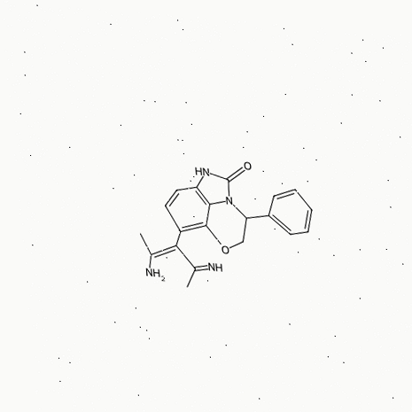 CC(=N)/C(=C(/C)N)c1ccc2[nH]c(=O)n3c2c1OCC3c1ccccc1